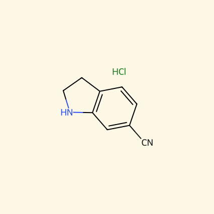 Cl.N#Cc1ccc2c(c1)NCC2